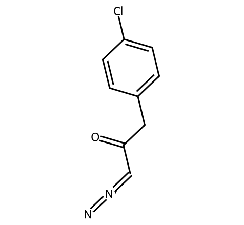 [N-]=[N+]=CC(=O)Cc1ccc(Cl)cc1